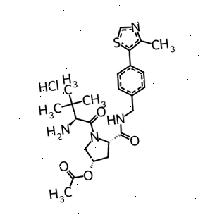 CC(=O)O[C@H]1C[C@@H](C(=O)NCc2ccc(-c3scnc3C)cc2)N(C(=O)[C@@H](N)C(C)(C)C)C1.Cl